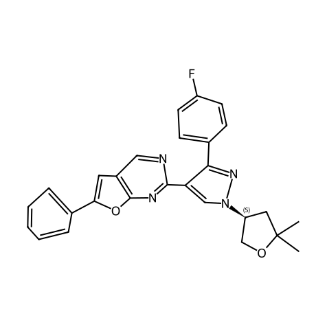 CC1(C)C[C@H](n2cc(-c3ncc4cc(-c5ccccc5)oc4n3)c(-c3ccc(F)cc3)n2)CO1